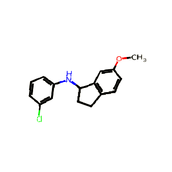 COc1ccc2c(c1)C(Nc1cccc(Cl)c1)CC2